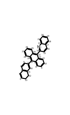 C1=Cc2ccc(-c3c4ccccc4c(-c4ccc5ccccc5n4)c4ccccc34)cc2CC1